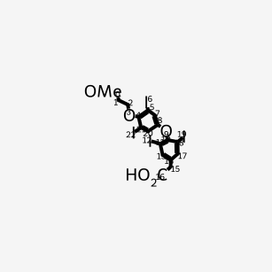 COCCOc1c(I)cc(Oc2c(I)cc(CC(=O)O)cc2I)cc1I